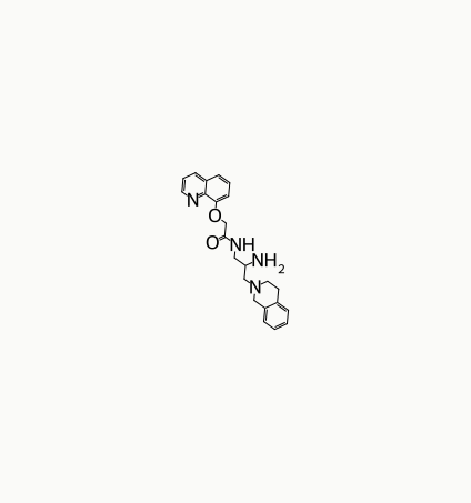 NC(CNC(=O)COc1cccc2cccnc12)CN1CCc2ccccc2C1